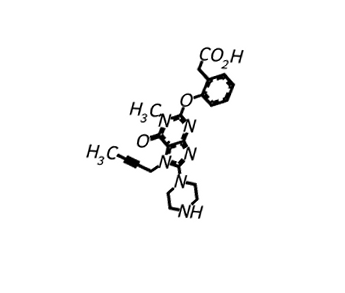 CC#CCn1c(N2CCNCC2)nc2nc(Oc3ccccc3CC(=O)O)n(C)c(=O)c21